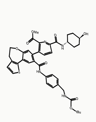 COC(=O)c1nc(C(=O)N[C@H]2CC[C@H](O)CC2)ccc1-c1cc2c(cc1C(=O)Nc1ccc(CNC(=O)OC(C)(C)C)cc1)-c1sccc1CCO2